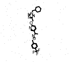 C/C(=N\OCc1ccc(C(F)(F)F)cc1)c1ccc(OCc2nnn(CC3CCCCC3)n2)nc1